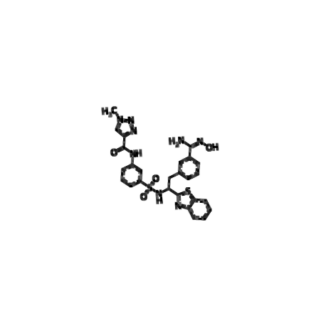 Cn1cc(C(=O)Nc2cccc(S(=O)(=O)NC(Cc3cccc(/C(N)=N\O)c3)c3nc4ccccc4s3)c2)nn1